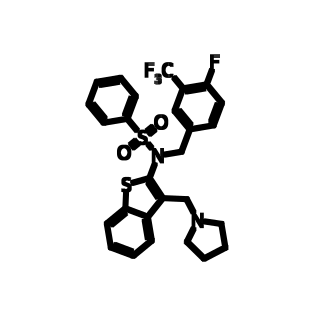 O=S(=O)(c1ccccc1)N(Cc1ccc(F)c(C(F)(F)F)c1)c1sc2ccccc2c1CN1CCCC1